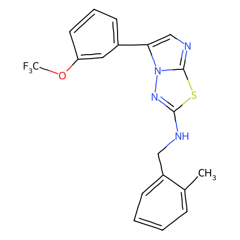 Cc1ccccc1CNc1nn2c(-c3cccc(OC(F)(F)F)c3)cnc2s1